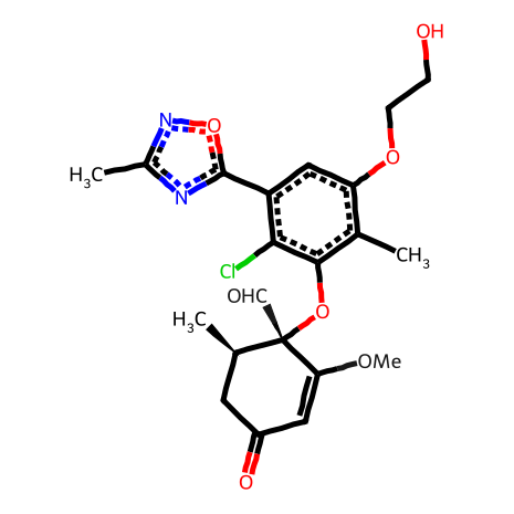 COC1=CC(=O)C[C@@H](C)[C@]1(C=O)Oc1c(C)c(OCCO)cc(-c2nc(C)no2)c1Cl